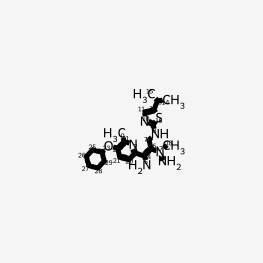 Cc1nc(/C(N)=C(\CNc2ncc(C(C)C)s2)N(C)N)ccc1OC1CCCCC1